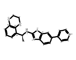 C[C@H](Nc1nc2ccc(-c3ccncc3)cc2s1)c1cccc2c1OCCO2